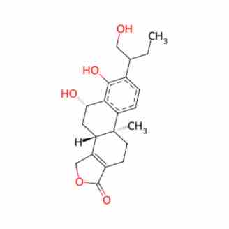 CCC(CO)c1ccc2c(c1O)[C@@H](O)C[C@H]1C3=C(CC[C@]21C)C(=O)OC3